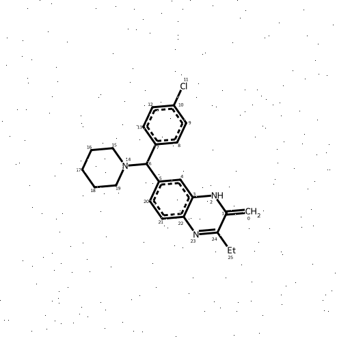 C=C1Nc2cc(C(c3ccc(Cl)cc3)N3CCCCC3)ccc2N=C1CC